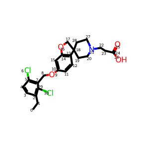 CCc1ccc(Cl)c(COc2ccc3c(c2)OCC32CCN(CCC(=O)O)CC2)c1Cl